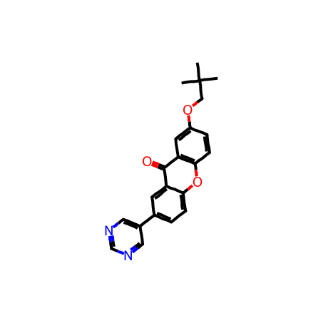 CC(C)(C)COc1ccc2oc3ccc(-c4cncnc4)cc3c(=O)c2c1